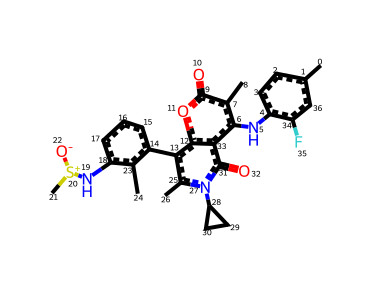 Cc1ccc(Nc2c(C)c(=O)oc3c(-c4cccc(N[S+](C)[O-])c4C)c(C)n(C4CC4)c(=O)c23)c(F)c1